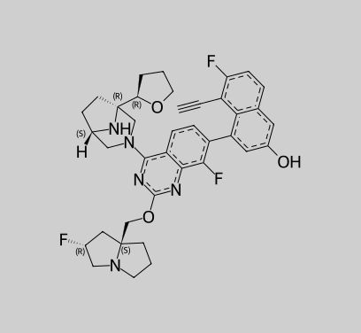 C#Cc1c(F)ccc2cc(O)cc(-c3ccc4c(N5C[C@@H]6CC[C@]([C@H]7CCCO7)(C5)N6)nc(OC[C@@]56CCCN5C[C@H](F)C6)nc4c3F)c12